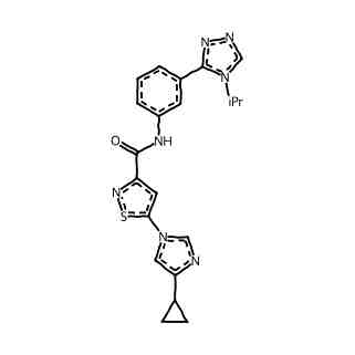 CC(C)n1cnnc1-c1cccc(NC(=O)c2cc(-n3cnc(C4CC4)c3)sn2)c1